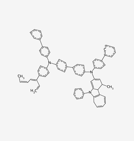 C=C/C(=C\C=C/C)c1ccc(N(c2ccc(-c3ccccc3)cc2)c2ccc(-c3ccc(N(C4=CC(C)C5C(=C4)N(c4ccccc4)C4=C5C=CC=CC4)c4ccc(-c5ccccc5)cc4)cc3)cc2)cc1